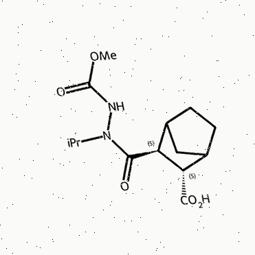 COC(=O)NN(C(=O)[C@H]1C2CCC(C2)[C@@H]1C(=O)O)C(C)C